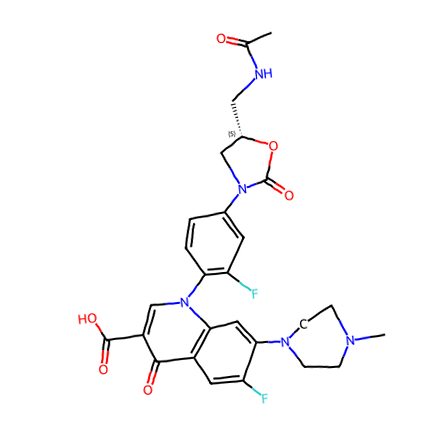 CC(=O)NC[C@H]1CN(c2ccc(-n3cc(C(=O)O)c(=O)c4cc(F)c(N5CCN(C)CC5)cc43)c(F)c2)C(=O)O1